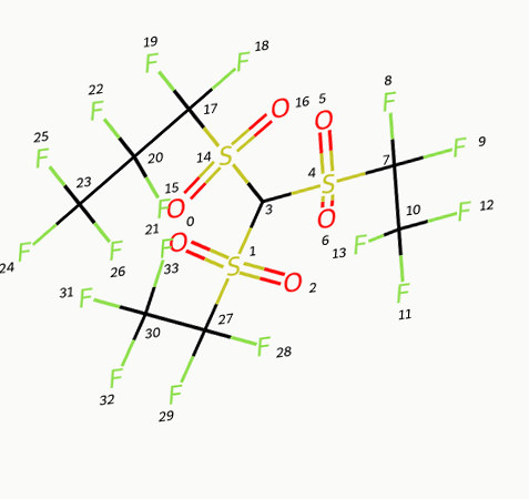 O=S(=O)(C(S(=O)(=O)C(F)(F)C(F)(F)F)S(=O)(=O)C(F)(F)C(F)(F)C(F)(F)F)C(F)(F)C(F)(F)F